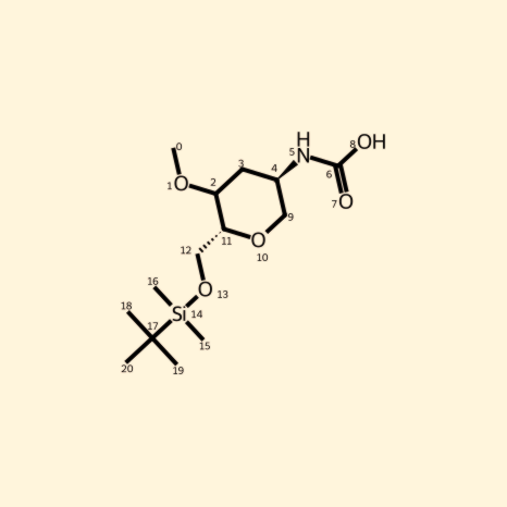 COC1C[C@@H](NC(=O)O)CO[C@@H]1CO[Si](C)(C)C(C)(C)C